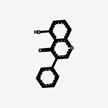 O=c1c(-c2ccccc2)coc2cccc(O)c12